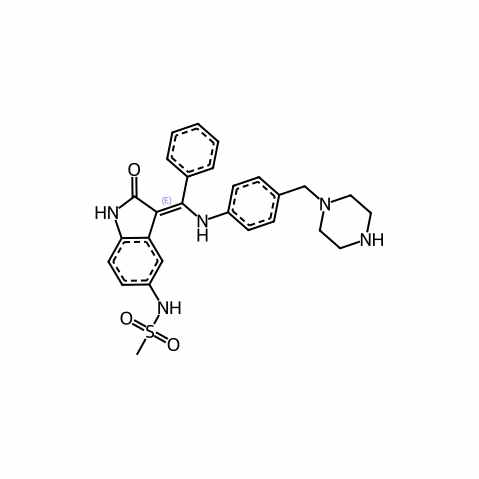 CS(=O)(=O)Nc1ccc2c(c1)/C(=C(\Nc1ccc(CN3CCNCC3)cc1)c1ccccc1)C(=O)N2